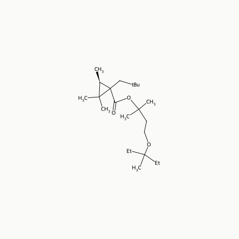 CCC(C)(CC)OCCC(C)(C)OC(=O)C1(CC(C)(C)C)[C@H](C)C1(C)C